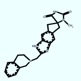 CN1C(=O)NC(=O)C12Cc1cc3nc(CN4CCc5ccccc5C4)[nH]c3cc1C2